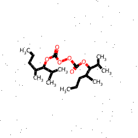 CCCC(C)C(OC(=O)OOC(=O)OC(C(C)C)C(C)CCC)C(C)C